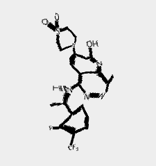 Cc1nnc(N[C@H](C)c2cccc(C(F)(F)F)c2F)c2cc(N3CCS(=O)(=O)CC3)c(O)nc12